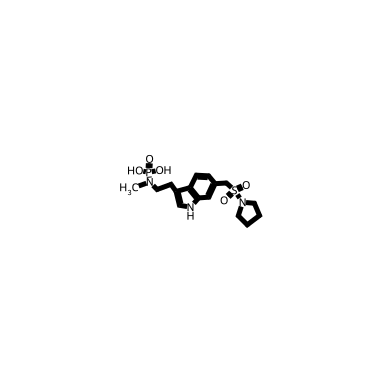 CN(CCc1c[nH]c2cc(CS(=O)(=O)N3CCCC3)ccc12)P(=O)(O)O